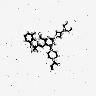 C=CC(=O)N1CCN(c2nc(N3CC(N(CC)CC)C3)nc(C=O)c2/C=C(\N(C)c2c(O)cccc2F)C(F)(F)F)CC1